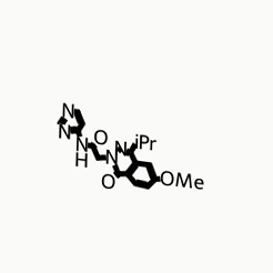 COc1ccc2c(=O)n(CC(=O)Nc3ccncn3)nc(C(C)C)c2c1